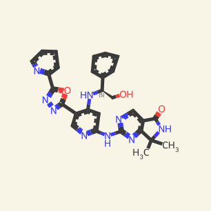 CC1(C)NC(=O)c2cnc(Nc3cc(N[C@H](CO)c4ccccc4)c(-c4nnc(-c5ccccn5)o4)cn3)nc21